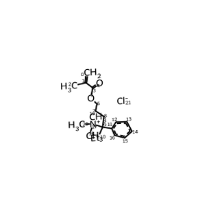 C=C(C)C(=O)OCCCC(CC)(c1ccccc1)[N+](C)(C)C.[Cl-]